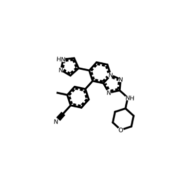 Cc1cc(-c2c(-c3cn[nH]c3)ccn3nc(NC4CCOCC4)nc23)ccc1C#N